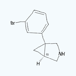 Brc1cccc(C23CNC[C@H]2C3)c1